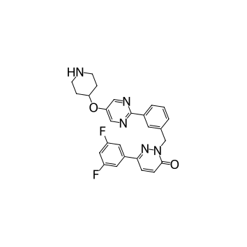 O=c1ccc(-c2cc(F)cc(F)c2)nn1Cc1cccc(-c2ncc(OC3CCNCC3)cn2)c1